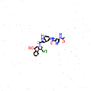 CC(=O)Nc1cc(C(=O)Nc2ccc3[nH]c(C(=O)N4CC(CCl)c5c4cc(O)c4ccccc54)cc3c2)n(C)c1